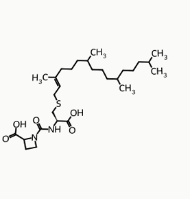 C/C(=C\CSC[C@H](NC(=O)N1CCC1C(=O)O)C(=O)O)CCCC(C)CCCC(C)CCCC(C)C